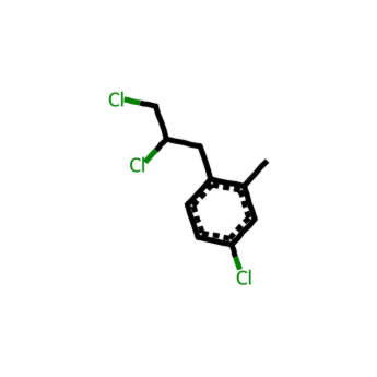 Cc1cc(Cl)ccc1CC(Cl)CCl